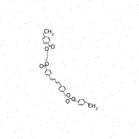 C=Cc1ccc(COC(=O)OCc2ccc(/C=C/C=C/c3ccc(C(=O)OCCCCOC(=O)c4ccc(C=C)cc4)cc3)cc2)cc1